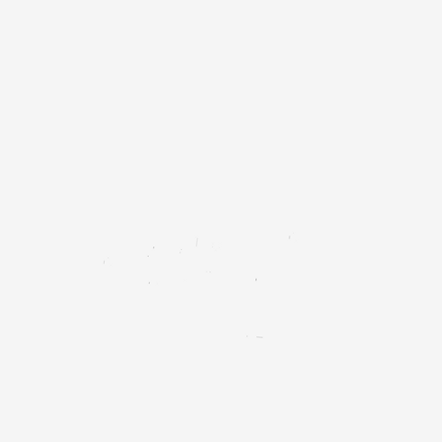 C=C(C)C1(OCOCc2ccccc2)CCC(C)C(OCOCc2ccccc2)C1=O